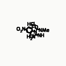 CCc1cc([N+](=O)[O-])cc(CC)c1N(C(=N)N)C(=O)NC.Cl